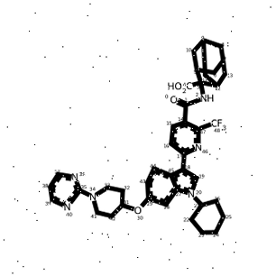 O=C(NC1(C(=O)O)C2CC3CC(C2)CC1C3)c1ccc(-c2cn(C3CCCCC3)c3cc(OC4CCN(c5ncccn5)CC4)ccc23)nc1C(F)(F)F